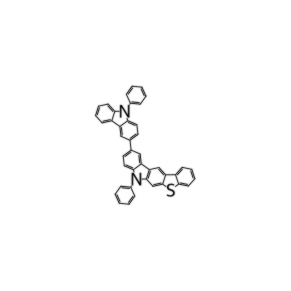 c1ccc(-n2c3ccccc3c3cc(-c4ccc5c(c4)c4cc6c(cc4n5-c4ccccc4)sc4ccccc46)ccc32)cc1